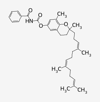 CC(C)=CCCC(C)=CCCC(C)=CCCC1(C)CCc2cc(OC(=O)NC(=O)c3ccccc3)cc(C)c2O1